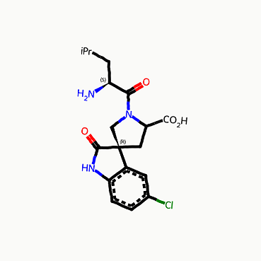 CC(C)C[C@H](N)C(=O)N1C[C@]2(CC1C(=O)O)C(=O)Nc1ccc(Cl)cc12